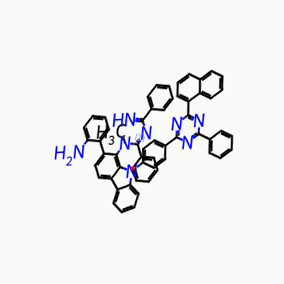 CN(/C(=N\C(=N)c1ccccc1)c1ccccc1)c1c(-c2ccccc2N)ccc2c3ccccc3n(-c3ccc(-c4nc(-c5ccccc5)nc(-c5cccc6ccccc56)n4)cc3)c12